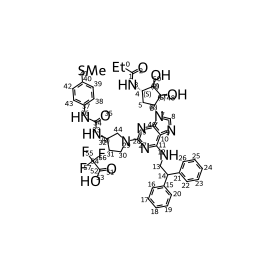 CCC(=O)N[C@H]1C[C@@H](n2cnc3c(NCC(c4ccccc4)c4ccccc4)nc(N4CC[C@@H](NC(=O)Nc5ccc(SC)cc5)C4)nc32)[C@H](O)[C@@H]1O.O=C(O)C(F)(F)F